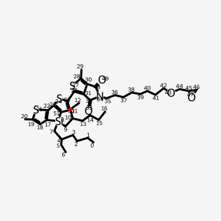 CCCCC(CC)C[Si]1(CC(CC)CCCC)c2cc(C)sc2-c2sc(-c3sc(C)c4c3C(=O)N(CCCCCCCCOCC3CO3)C4=O)cc21